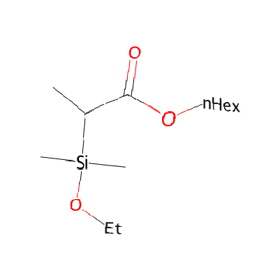 CCCCCCOC(=O)C(C)[Si](C)(C)OCC